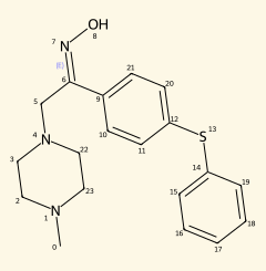 CN1CCN(C/C(=N/O)c2ccc(Sc3ccccc3)cc2)CC1